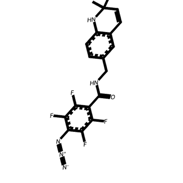 CC1(C)C=Cc2cc(CNC(=O)c3c(F)c(F)c(N=[N+]=[N-])c(F)c3F)ccc2N1